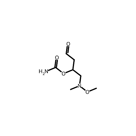 CON(C)CC(CC=O)OC(N)=O